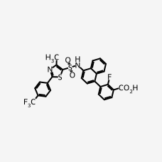 Cc1nc(-c2ccc(C(F)(F)F)cc2)sc1S(=O)(=O)Nc1ccc(-c2cccc(C(=O)O)c2F)c2ccccc12